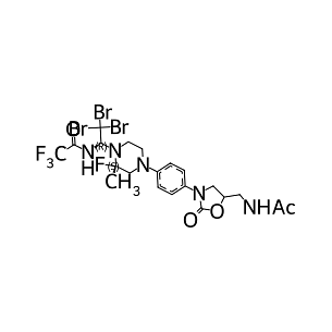 CC(=O)NCC1CN(c2ccc(N3CCN([C@@H](NC(=O)C(F)(F)F)C(Br)(Br)Br)[C@@](C)(F)C3)cc2)C(=O)O1